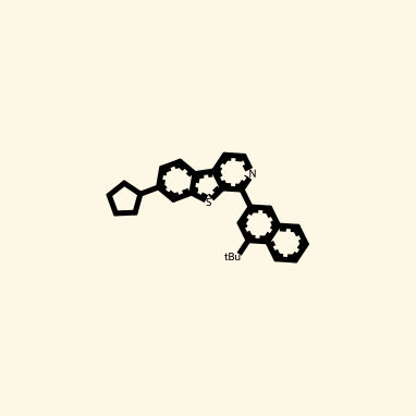 CC(C)(C)c1cc(-c2nccc3c2sc2cc(C4CCCC4)ccc23)cc2ccccc12